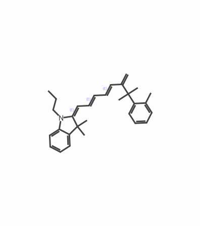 C=C(/C=C/C=C/C=C1/N(CCC)c2ccccc2C1(C)C)C(C)(C)c1ccccc1C